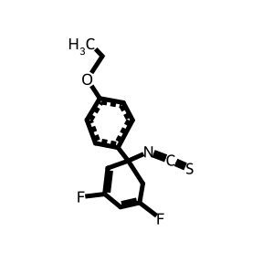 CCOc1ccc(C2(N=C=S)C=C(F)C=C(F)C2)cc1